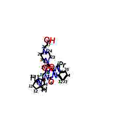 CC(C)n1c(=O)n(C(=O)N[C@@H]2C[C@H]3CC[C@@H](C2)N3CCCOC(=O)N2CCN(CCO)CC2)c2ccccc21